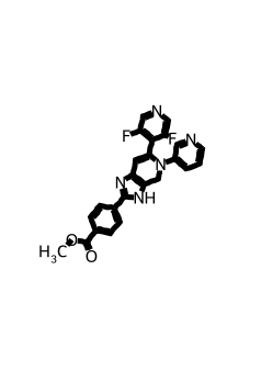 COC(=O)c1ccc(-c2nc3c([nH]2)CN(c2cccnc2)C(c2c(F)cncc2F)=C3)cc1